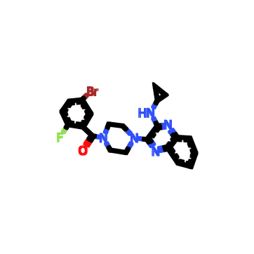 O=C(c1cc(Br)ccc1F)N1CCN(c2nc3ccccc3nc2NC2CC2)CC1